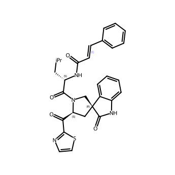 CC(C)C[C@H](NC(=O)/C=C/c1ccccc1)C(=O)N1C[C@]2(C[C@H]1C(=O)c1nccs1)C(=O)Nc1ccccc12